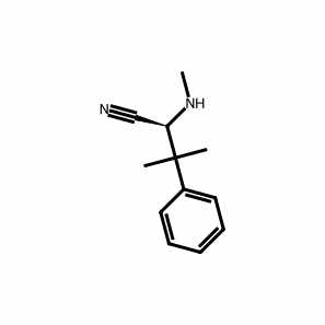 CN[C@H](C#N)C(C)(C)c1ccccc1